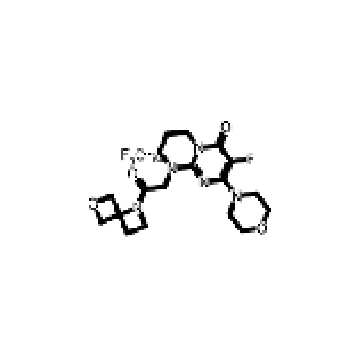 O=C(CN1c2nc(N3CCOCC3)c(F)c(=O)n2CC[C@H]1C(F)(F)F)N1CCC12COC2